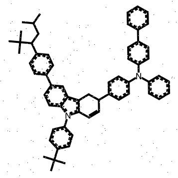 CC(C)CC(c1ccc(-c2ccc3c(c2)c2c(n3-c3ccc(C(C)(C)C)cc3)C=CC(c3ccc(N(c4ccccc4)c4ccc(-c5ccccc5)cc4)cc3)C2)cc1)C(C)(C)C